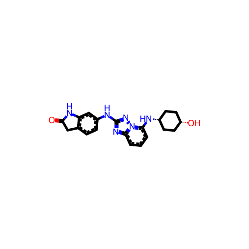 O=C1Cc2ccc(Nc3nc4cccc(N[C@H]5CC[C@@H](O)CC5)n4n3)cc2N1